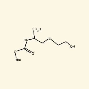 CC(C)(C)OC(=O)NC(CSCCO)C(=O)O